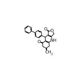 C=C1CC(=O)C2=C(C1)NC1=C(C(=O)OC1)C2c1ccc(-c2ccccc2)cc1